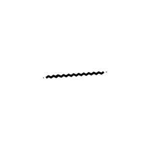 [CH2]CCCC=CCCCCCCCCCCCCCCCCC[CH2]